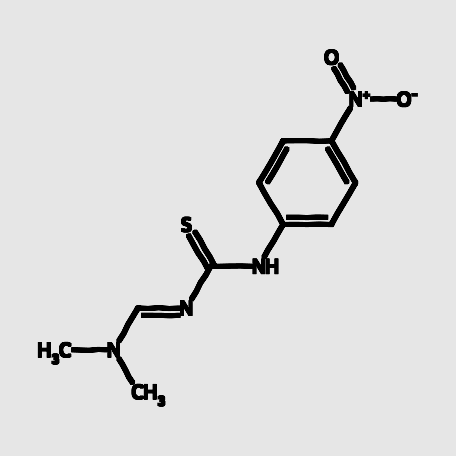 CN(C)C=NC(=S)Nc1ccc([N+](=O)[O-])cc1